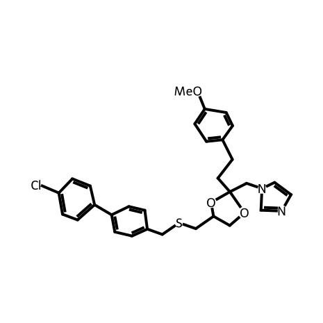 COc1ccc(CCC2(Cn3ccnc3)OCC(CSCc3ccc(-c4ccc(Cl)cc4)cc3)O2)cc1